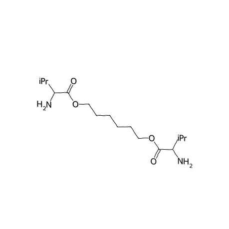 CC(C)C(N)C(=O)OCCCCCCOC(=O)C(N)C(C)C